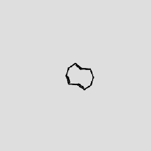 [C]1=C\C/C=C/CCC/C=C/1